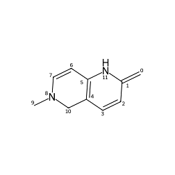 C=C1C=CC2=C(C=CN(C)C2)N1